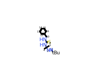 CC(C)(C)N=NC(C)(C)NC(=S)NCc1ccccc1